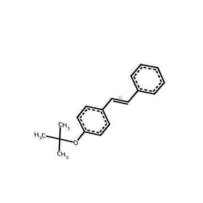 CC(C)(C)Oc1ccc(/C=C/c2ccccc2)cc1